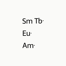 [Am].[Eu].[Sm].[Tb]